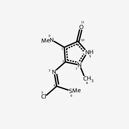 CNc1c(/N=C(/Cl)SC)n(C)[nH]c1=O